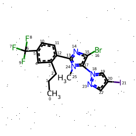 CCCc1cc(C(F)(F)F)ccc1-c1nc(Br)c(-n2cc(I)cn2)n1C